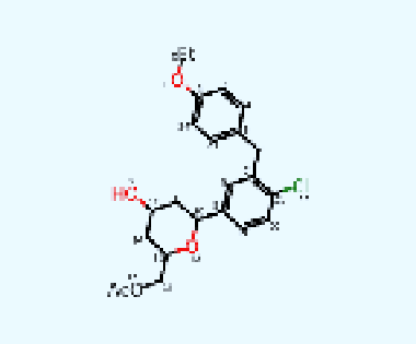 CCOc1ccc(Cc2cc(C3CC(O)CC(COC(C)=O)O3)ccc2Cl)cc1